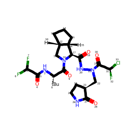 CC(C)(C)[C@H](NC(=O)C(F)F)C(=O)N1C[C@@H]2CCC[C@@H]2[C@H]1C(=O)NN(C[C@@H]1CCNC1=O)C(=O)[C@H](F)Cl